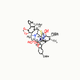 COc1ccc2oc3c(c2c1)CCN[C@]31CS[C@@H]2c3c(OC(C)=O)c(C)c4c(c3[C@H](COC1=O)N1C2[C@H]2c3c(cc(C)c(OC)c3O)C[C@H]([C@@H]1O)N2C)OCO4